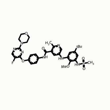 COc1c(Nc2cnc(C)c(C(=O)Nc3ccc(Oc4nc(N5CCOCC5)ncc4F)cc3)c2)cc(C(C)(C)C)cc1NS(C)(=O)=O